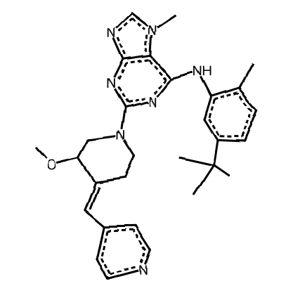 COC1CN(c2nc(Nc3cc(C(C)(C)C)ccc3C)c3c(ncn3C)n2)CC/C1=C\c1ccncc1